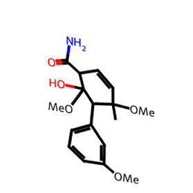 COc1cccc(C2C(C)(OC)C=CC(C(N)=O)C2(O)OC)c1